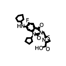 O=C(O)c1csc(Cn2c(=O)c3cc(F)c(NC4CCCCC4)cc3n(C3CCCC3)c2=O)n1